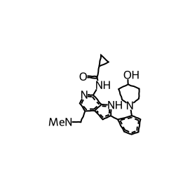 CNCc1cnc(NC(=O)C2CC2)c2[nH]c(-c3ccccc3N3CCC(O)CC3)cc12